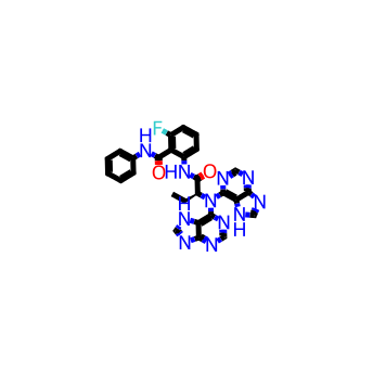 CC[C@@H](C(=O)Nc1cccc(F)c1C(=O)Nc1ccccc1)N(c1ncnc2nc[nH]c12)c1ncnc2nc[nH]c12